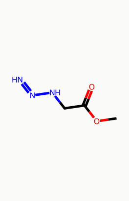 COC(=O)CNN=N